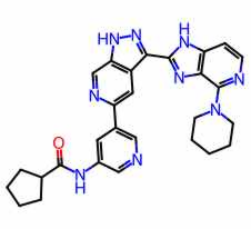 O=C(Nc1cncc(-c2cc3c(-c4nc5c(N6CCCCC6)nccc5[nH]4)n[nH]c3cn2)c1)C1CCCC1